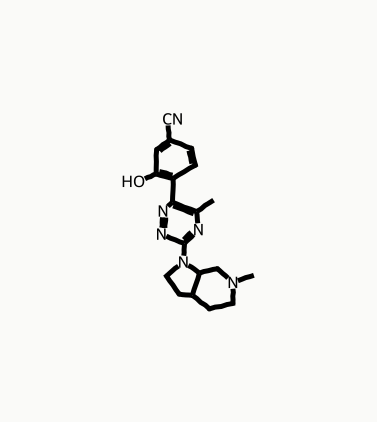 Cc1nc(N2CCC3CCN(C)CC32)nnc1-c1ccc(C#N)cc1O